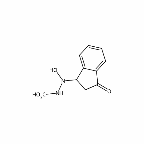 O=C(O)NN(O)C1CC(=O)c2ccccc21